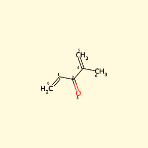 C=[C]C(=O)C(=C)C